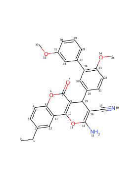 CCc1ccc2oc(=O)c3c(c2c1)OC(N)=C(C#N)C3c1ccc(OC)c(-c2cccc(OC)c2)c1